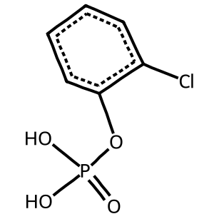 O=P(O)(O)Oc1ccccc1Cl